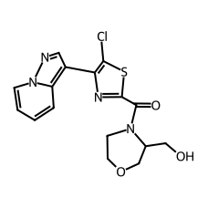 O=C(c1nc(-c2cnn3ccccc23)c(Cl)s1)N1CCOCC1CO